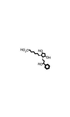 O=C(O)CCCCCC[C@@H]1[C@@H](CCC(O)c2ccccc2)[C@H](O)C[C@@H]1O